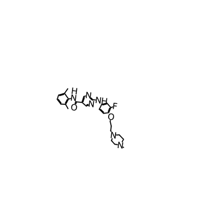 Cc1cccc(C)c1NC(=O)c1cnc(Nc2ccc(OCCCN3CCN(C)CC3)c(F)c2)nc1